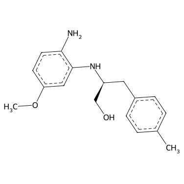 COc1ccc(N)c(N[C@H](CO)Cc2ccc(C)cc2)c1